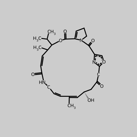 CC1=C/[C@@H](O)CC(=O)Cc2nc(co2)C(=O)N2CCC=C2C(=O)OC(C(C)C)C(C)/C=C\C(=O)NC/C=C\1